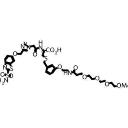 COCCOCCOCCOCCC(=O)NCCOc1cccc(CSC[C@@H](NC(=O)Cn2cc(COc3ccc4nc(S(N)(=O)=O)sc4c3)nn2)C(=O)O)c1